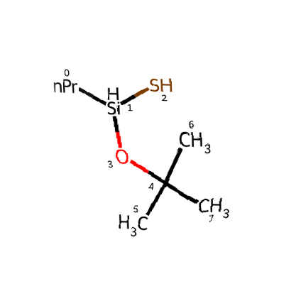 CCC[SiH](S)OC(C)(C)C